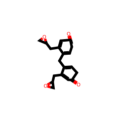 O=C1C=C(CC2CO2)C(CC2=CCC(=O)C=C2CC2CO2)=CC1